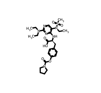 CCN(CC)c1ncc(N(CC)S(C)(=O)=O)c(N[C@@H](Cc2ccc(OC(=O)N3CCCC3)cc2)C(=O)O)n1